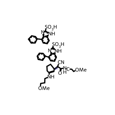 COCCCNC(=O)/C(C#N)=C1\C=C(NCCCOC)CCC1.O=S(=O)(O)c1nc2c(-c3ccccc3)cccc2[nH]1.O=S(=O)(O)c1nc2c(-c3ccccc3)cccc2[nH]1